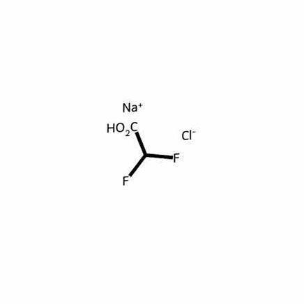 O=C(O)C(F)F.[Cl-].[Na+]